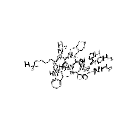 CCCC[C@H](O)[C@H](N)C(=O)N1CC2CCCC2[C@H]1C(=O)N[C@@H](Cc1c[nH]c2ccccc12)C(=O)N[C@H](C(N)=O)[C@@H](C)O